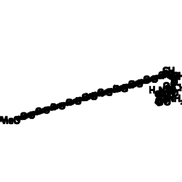 COCCOCCOCCOCCOCCOCCOCCOCCOCCOCCOCCOCCOCCOCCOCCOCCOCCOCCOCCOCC(C)OCC(C)OCC(C)n1c(=O)c2c(N)c3c(=O)c4ccccc4c(=O)c3c(N)c2c1=O